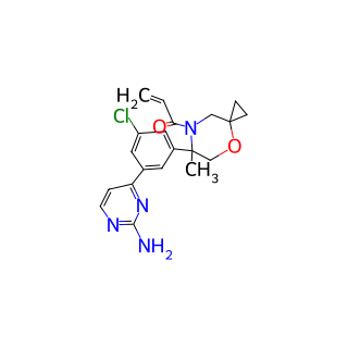 C=CC(=O)N1CC2(CC2)OCC1(C)c1cc(Cl)cc(-c2ccnc(N)n2)c1